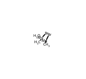 O.[CH3][Mg][Br].[CH3][Mg][Br]